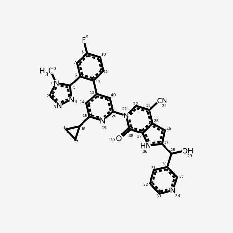 Cn1cnnc1-c1cc(F)ccc1-c1cc(C2CC2)nc(-n2cc(C#N)c3cc(C(O)c4cccnc4)[nH]c3c2=O)c1